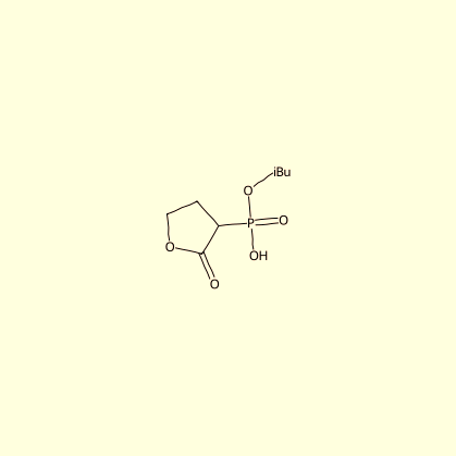 CCC(C)OP(=O)(O)C1CCOC1=O